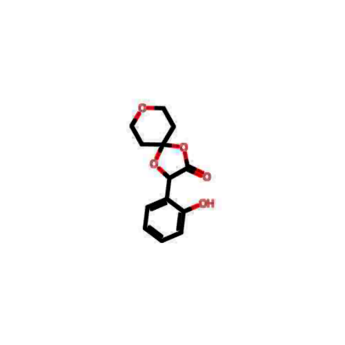 O=C1OC2(CCOCC2)OC1c1ccccc1O